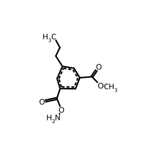 CCCc1cc(C(=O)OC)cc(C(=O)ON)c1